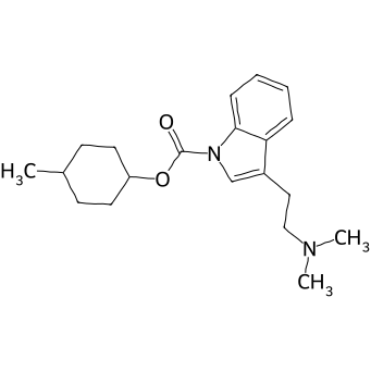 CC1CCC(OC(=O)n2cc(CCN(C)C)c3ccccc32)CC1